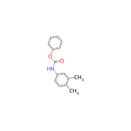 Cc1ccc(NC(=O)Oc2ccccc2)cc1C